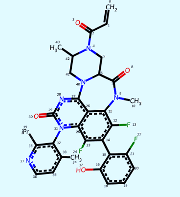 C=CC(=O)N1CC2C(=O)N(C)c3c(F)c(-c4c(O)cccc4F)c(F)c4c3c(nc(=O)n4-c3c(C)ccnc3C(C)C)N2CC1C